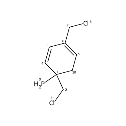 PC1(CCl)C=CC(CCl)=CC1